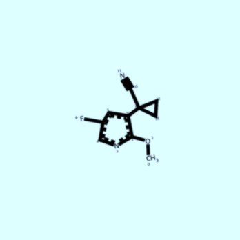 COc1ncc(F)cc1C1(C#N)CC1